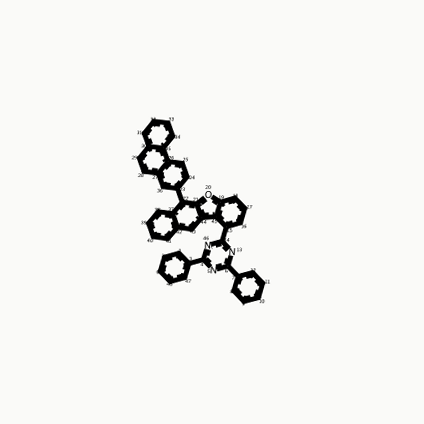 c1ccc(-c2nc(-c3ccccc3)nc(-c3cccc4oc5c(-c6ccc7c(ccc8ccccc87)c6)c6ccccc6cc5c34)n2)cc1